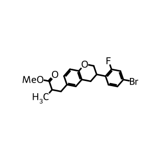 COC(=O)C(C)Cc1ccc2c(c1)CC(c1ccc(Br)cc1F)CO2